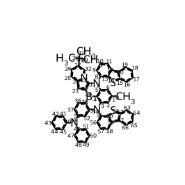 Cc1cc2c3c(c1)N(c1cccc4c1sc1ccccc14)c1c(cc4ccc(C(C)(C)C)cn14)B3c1ccc(N(c3ccccc3)c3ccccc3)cc1N2c1cccc2c1sc1ccccc12